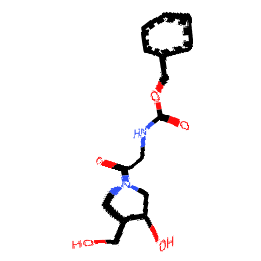 O=C(NCC(=O)N1CC(O)C(CO)C1)OCc1ccccc1